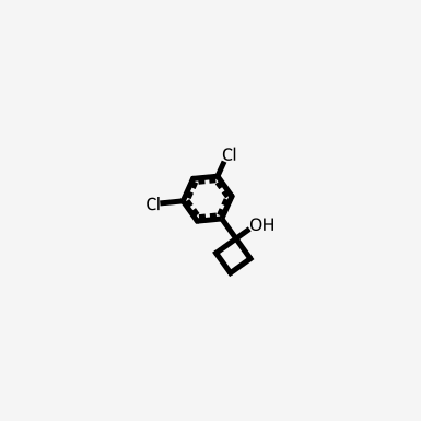 OC1(c2cc(Cl)cc(Cl)c2)CCC1